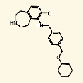 Clc1ccc2c(c1NCc1ccc(COC3CCCCC3)cc1)CCNCC2